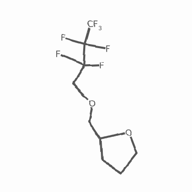 FC(F)(F)C(F)(F)C(F)(F)COCC1CCCO1